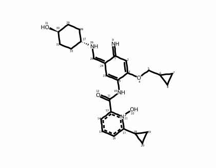 N=C1C=C(OCC2CC2)C(NC(=O)c2cccc(C3CC3)[n+]2O)=C/C1=C/N[C@H]1CC[C@H](O)CC1